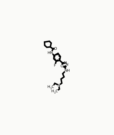 CCN(CC)CCCCNc1nnc(-c2ccc(NC(=O)C3CCCCC3)cc2F)o1